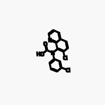 O=C(O)N(c1cccc(Cl)c1)c1c(Cl)ccc2cccnc12